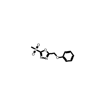 CS(=O)(=O)c1nnc(COc2ccccc2)o1